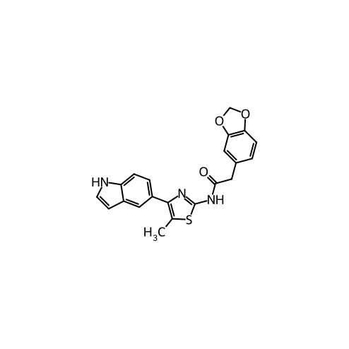 Cc1sc(NC(=O)Cc2ccc3c(c2)OCO3)nc1-c1ccc2[nH]ccc2c1